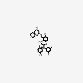 O=C(Nc1cc(F)cc(F)c1)[C@H](Cc1ccc(Cl)cc1)Nc1cccc(F)c1CC[C@@H]1CNCC2(CCOCC2)O1